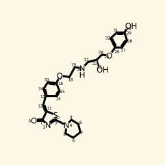 O=C1N=C(N2CCCCC2)SC1=Cc1ccc(OCCNC[C@H](O)COc2ccc(O)cc2)cc1